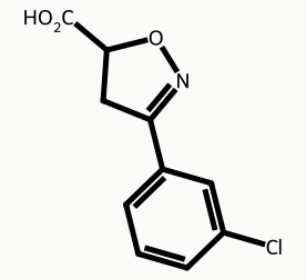 O=C(O)C1CC(c2cccc(Cl)c2)=NO1